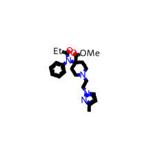 CCC(=O)N(c1ccccc1)C1(C(=O)OC)CCN(CCn2ccc(C)n2)CC1